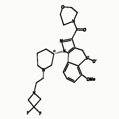 COc1cccc2c1[S+]([O-])Cc1c(C(=O)N3CCOCC3)nn([C@H]3CCCN(CCN4CC(F)(F)C4)C3)c1-2